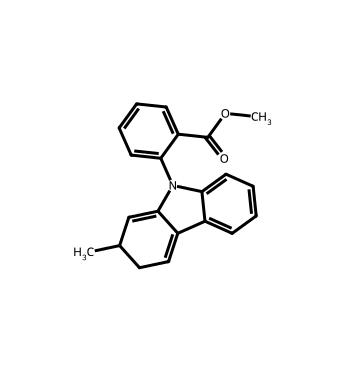 COC(=O)c1ccccc1-n1c2c(c3ccccc31)=CCC(C)C=2